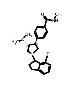 CNC(=O)c1ccc([C@H]2CN(C3CCc4cccc(F)c43)C[C@@H]2N(C)C)cc1